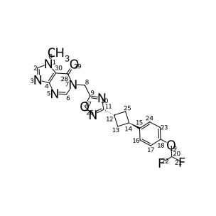 Cn1cnc2ncn(Cc3nc([C@H]4C[C@H](c5ccc(OC(F)F)cc5)C4)no3)c(=O)c21